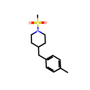 Cc1ccc(CC2CCN(S(C)(=O)=O)CC2)cc1